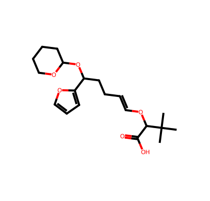 CC(C)(C)C(OC=CCCC(OC1CCCCO1)c1ccco1)C(=O)O